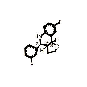 Fc1cccc([C@H]2Nc3ccc(F)cc3[C@@H]3OCC[C@H]23)c1